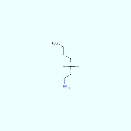 CC(C)(C)CCCC(C)(C)CCN